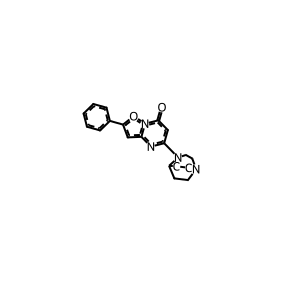 O=c1cc(N2CCN3CCC2CC3)nc2cc(-c3ccccc3)on12